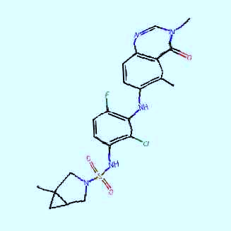 Cc1c(Nc2c(F)ccc(NS(=O)(=O)N3CC4CC4(C)C3)c2Cl)ccc2ncn(C)c(=O)c12